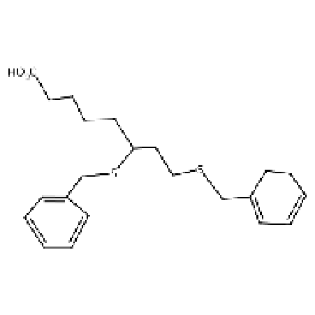 O=C(O)CCCCC(CCSCC1=CC=CCC1)SCc1ccccc1